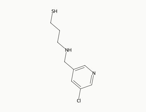 SCCCNCc1cncc(Cl)c1